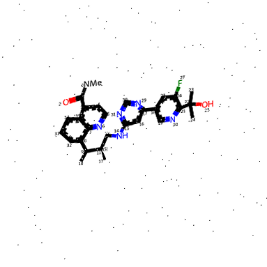 CNC(=O)c1ccnc2c(C(C)[C@H](C)CNc3cc(-c4cnc(C(C)(C)O)c(F)c4)ncn3)cccc12